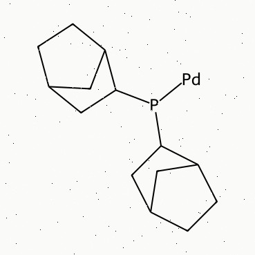 [Pd][P](C1CC2CCC1C2)C1CC2CCC1C2